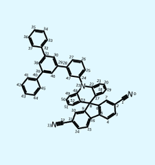 N#Cc1ccc2c(c1)C1(c3cc(C#N)ccc3-2)c2ccccc2N(c2cccc(-c3cc(-c4ccccc4)cc(-c4ccccc4)c3)c2)c2ccccc21